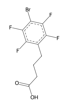 O=C(O)CCCc1c(F)c(F)c(Br)c(F)c1F